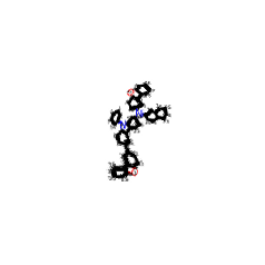 c1ccc(-n2c3ccc(-c4ccc5oc6ccccc6c5c4)cc3c3ccc(N(c4ccc5ccccc5c4)c4ccc5oc6ccccc6c5c4)cc32)cc1